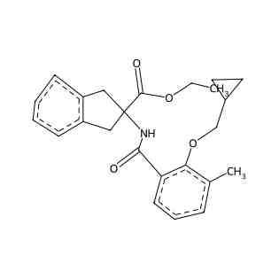 CCOC(=O)C1(NC(=O)c2cccc(C)c2OCC2CC2)Cc2ccccc2C1